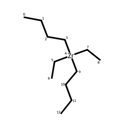 CCC[CH2][Zr]([CH2]C)([CH2]C)[CH2]CCC